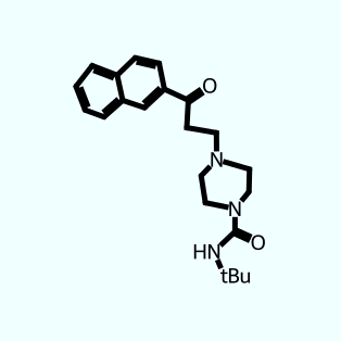 CC(C)(C)NC(=O)N1CCN(CCC(=O)c2ccc3ccccc3c2)CC1